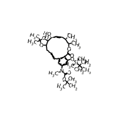 CC1OC(=O)c2c(cc(N(C)C(=O)OC(C)(C)C)cc2O[Si](C)(C)C(C)(C)C)/C=C/CC2OC(C)(C)O[C@H]2[C@H](O)/C=C\[C@H]1C